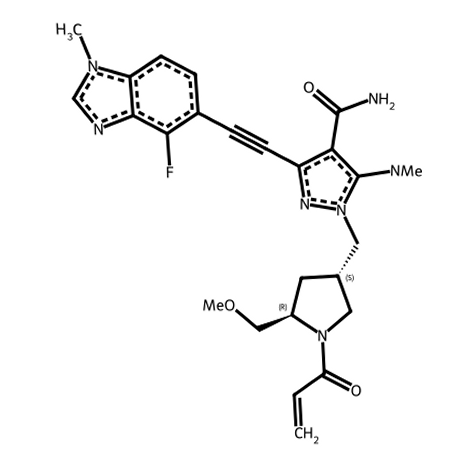 C=CC(=O)N1C[C@@H](Cn2nc(C#Cc3ccc4c(ncn4C)c3F)c(C(N)=O)c2NC)C[C@@H]1COC